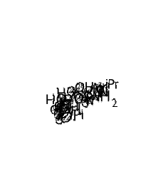 CC(C)c1cn(Cc2cn([C@@H]3O[C@H](COP(=O)(O)OP(=O)(O)OP(=O)(O)O)C(O)[C@@H]3O)c(=O)nc2N)nn1